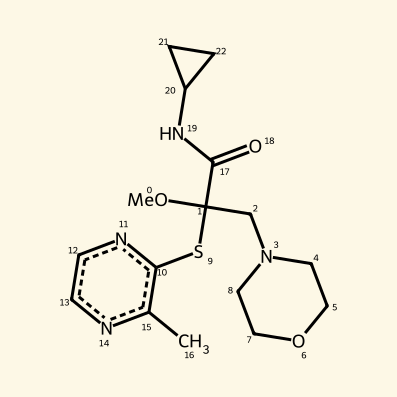 COC(CN1CCOCC1)(Sc1nccnc1C)C(=O)NC1CC1